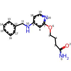 NC(=O)CCCOc1cc(NCc2ccccc2)ccn1